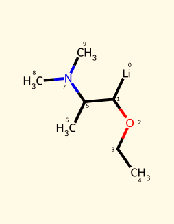 [Li][CH](OCC)C(C)N(C)C